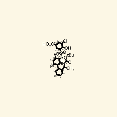 C[C@H](NC(=O)OC(C)(C)C)c1ccccc1-c1cc(NS(=O)(=O)c2cc(C(=O)O)cc(Cl)c2O)c(F)cc1F